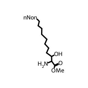 CCCCCCCCCCCCCCCCCC(O)C(N)C(=O)OC